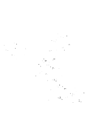 O=C(NCCc1ccc2c(c1)OCCO2)C1CN(c2cc(Cl)nc(-n3ccnc3)n2)CCN1C(=O)OCc1ccccc1